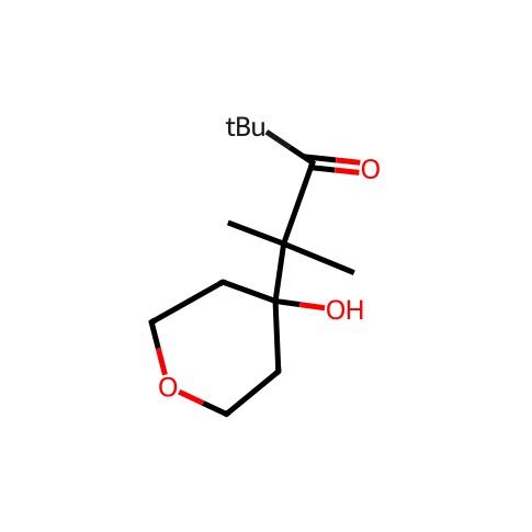 CC(C)(C)C(=O)C(C)(C)C1(O)CCOCC1